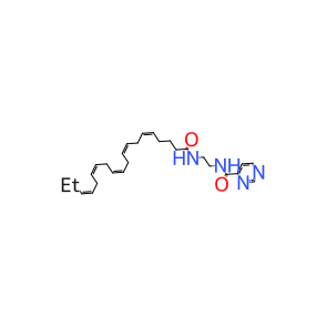 CC/C=C\C/C=C\C/C=C\C/C=C\C/C=C\CCCC(=O)NCCNC(=O)c1ccncn1